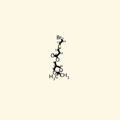 CC1(C)OCC(COC(=O)CCCCCBr)CO1